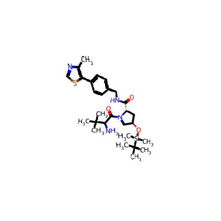 Cc1ncsc1-c1ccc(CNC(=O)[C@@H]2C[C@@H](O[Si](C)(C)C(C)(C)C)CN2C(=O)C(N)C(C)(C)C)cc1